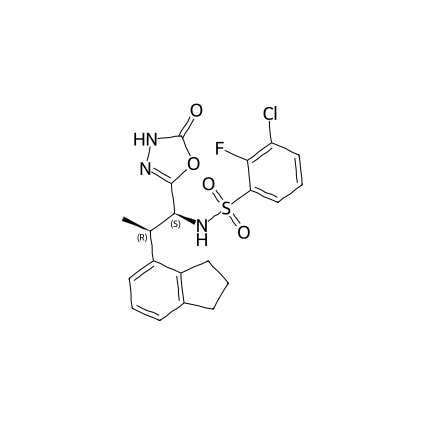 C[C@H](c1cccc2c1CCC2)[C@H](NS(=O)(=O)c1cccc(Cl)c1F)c1n[nH]c(=O)o1